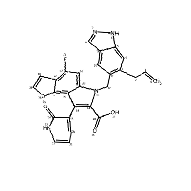 C=CCc1cc2[nH]ncc2cc1Cn1c(C(=O)O)c(-c2ccc[nH]c2=O)c2c3occc3c(F)cc21